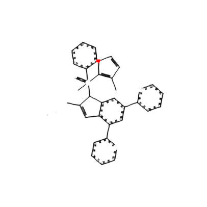 CC1=Cc2c(-c3ccccn3)cc(-c3ccccn3)cc2[CH]1[Zr]([CH3])(=[SiH2])([C]1=C(C)C=CC1)[c]1ccccc1.Cl.Cl